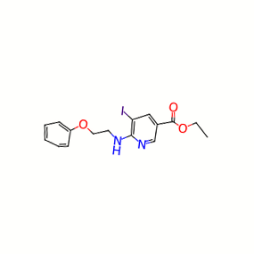 CCOC(=O)c1cnc(NCCOc2ccccc2)c(I)c1